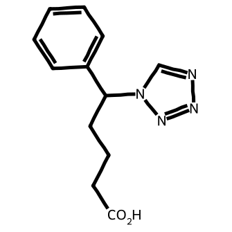 O=C(O)CCCC(c1ccccc1)n1cnnn1